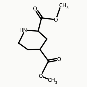 COC(=O)C1CCNC(C(=O)OC)C1